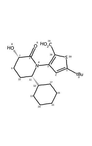 CC(C)(C)c1cc(N2C(=O)[C@@H](O)CC[C@H]2C2CCCCC2)c(C(=O)O)s1